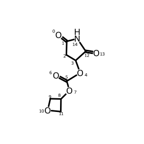 O=C1CC(OC(=O)OC2COC2)C(=O)N1